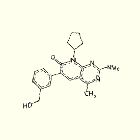 CNc1nc(C)c2cc(-c3cccc(CO)c3)c(=O)n(C3CCCC3)c2n1